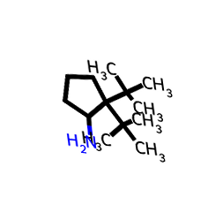 CC(C)(C)C1(C(C)(C)C)CCCC1N